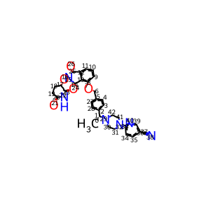 C[C@H](c1ccc(COc2cccc3c2CN(OC2CCC(=O)NC2=O)C3=O)cc1)N1CCN(c2ccc(C#N)cn2)CC1